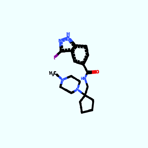 CN1CCN(C2(CNC(=O)c3ccc4[nH]nc(I)c4c3)CCCC2)CC1